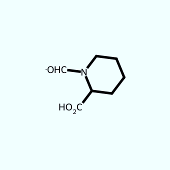 O=[C]N1CCCCC1C(=O)O